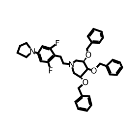 Fc1cc(N2CCCC2)cc(F)c1CCN1C[C@H](OCc2ccccc2)C(OCc2ccccc2)[C@H](OCc2ccccc2)C1